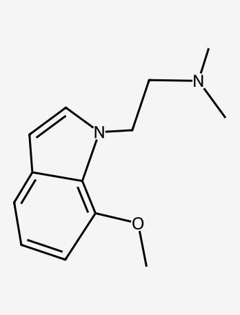 COc1cccc2ccn(CCN(C)C)c12